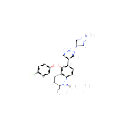 CC1CCc2c(ccc(-c3cnn(C4CN(C)C4)c3)c2Oc2ccc(F)cc2)N1C(=O)O